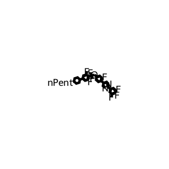 CCCCCC1CCC(c2cc(F)c(C(F)(F)Oc3ccc(-c4cnc(-c5cc(F)c(F)c(F)c5)nc4)c(F)c3)c(F)c2)CC1